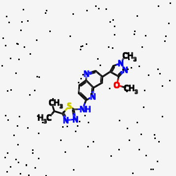 COc1nn(C)cc1-c1cnc2ccc(Nc3nnc(C(C)C)s3)nc2c1